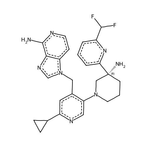 Nc1nccc2c1ncn2Cc1cc(C2CC2)ncc1N1CCC[C@](N)(c2cccc(C(F)F)n2)C1